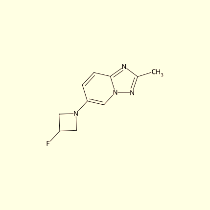 Cc1nc2ccc(N3CC(F)C3)cn2n1